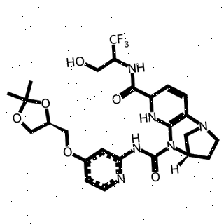 CC1(C)OC[C@H](COc2ccnc(NC(=O)N3C4=C(C=CC(C(=O)NC(CO)C(F)(F)F)N4)N4CC[C@H]3C4)c2)O1